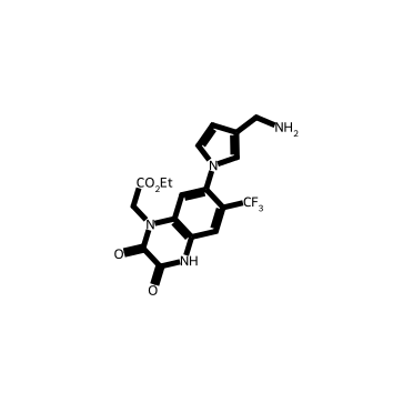 CCOC(=O)Cn1c(=O)c(=O)[nH]c2cc(C(F)(F)F)c(-n3ccc(CN)c3)cc21